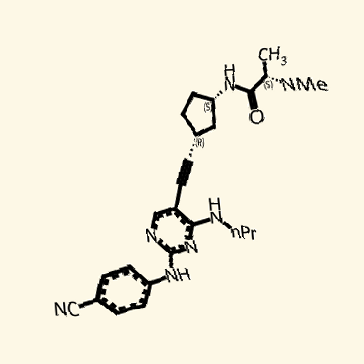 CCCNc1nc(Nc2ccc(C#N)cc2)ncc1C#C[C@@H]1CC[C@H](NC(=O)[C@H](C)NC)C1